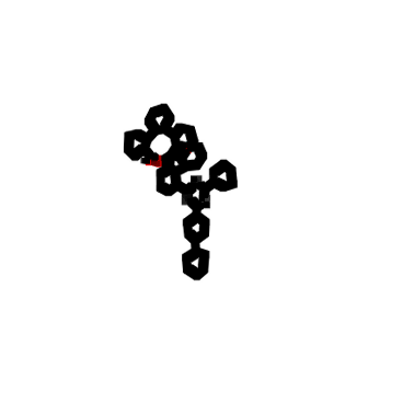 c1ccc(-c2ccc(-c3nc(-c4ccccc4)nc(-c4cccc5c4-c4ccccc4C54c5ccccc5-c5ccccc5-c5ccccc5-c5ccccc54)n3)cc2)cc1